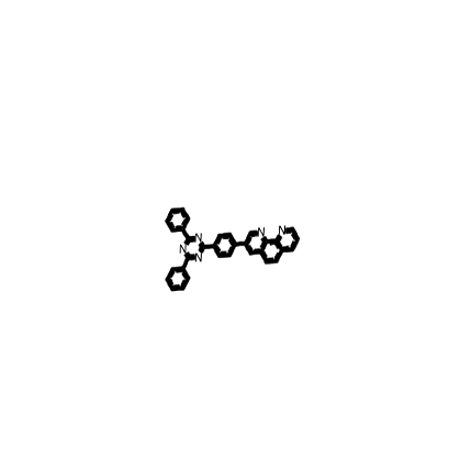 c1ccc(-c2nc(-c3ccccc3)nc(-c3ccc(-c4cnc5c(ccc6cccnc65)c4)cc3)n2)cc1